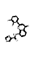 O=C(Nc1cccc2c(=O)cc(-c3cccc(F)c3F)oc12)c1cscn1